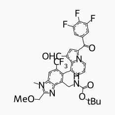 COCc1nc2c(CNC(=O)OC(C)(C)C)c(-c3cccn4c(C(=O)c5cc(F)c(F)c(F)c5)cc(C=O)c34)c(C(F)(F)F)cc2n1C